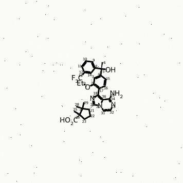 CCOc1cc([C@@](C)(O)c2cccc(C(F)(F)F)c2)ccc1-c1nc([C@@H]2CC[C@](C)(C(=O)O)C2(C)C)n2ccnc(N)c12